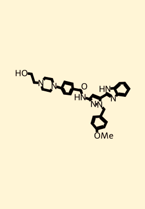 COc1ccc(Cn2nc(NC(=O)c3ccc(N4CCN(CCO)CC4)cc3)cc2-c2nc3ccccc3[nH]2)cc1